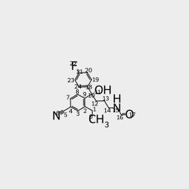 CCc1cc(C#N)ccc1[C@](O)(CCCNC=O)c1ccc(F)cc1